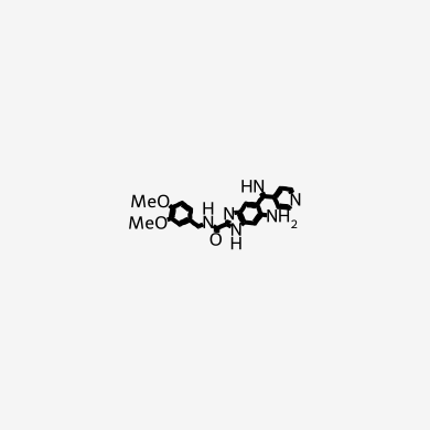 COc1ccc(CNC(=O)c2nc3cc(C(=N)c4ccncc4)c(N)cc3[nH]2)cc1OC